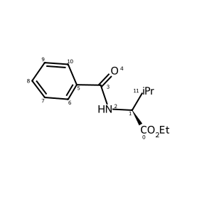 CCOC(=O)[C@@H](NC(=O)c1ccccc1)C(C)C